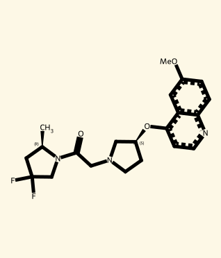 COc1ccc2nccc(O[C@H]3CCN(CC(=O)N4CC(F)(F)C[C@H]4C)C3)c2c1